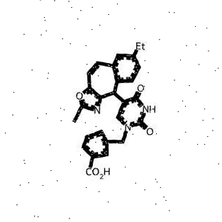 CCc1ccc2c(c1)C=Cc1oc(C)nc1C2c1cn(Cc2cccc(C(=O)O)c2)c(=O)[nH]c1=O